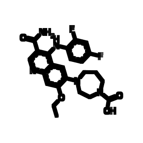 CCOc1cc2ncc(C(N)=O)c(Nc3ccc(F)cc3F)c2cc1N1CCCN(C(=O)O)CC1